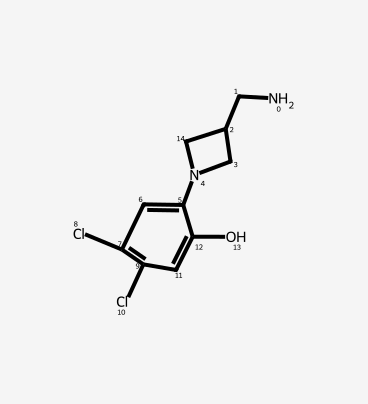 NCC1CN(c2cc(Cl)c(Cl)cc2O)C1